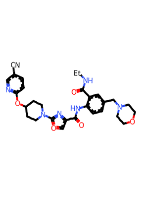 CCNC(=O)c1cc(CN2CCOCC2)ccc1NC(=O)c1coc(N2CCC(Oc3ccc(C#N)cn3)CC2)n1